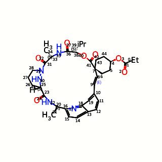 CCC(=O)O[C@H]1CC[C@]2(/C=C/c3ccc4ccc(nc4c3)[C@@H](C)NC(=O)[C@@H]3CCCN(N3)C(=O)[C@H](C)NC(=O)[C@H](C(C)C)OC2=O)CC1